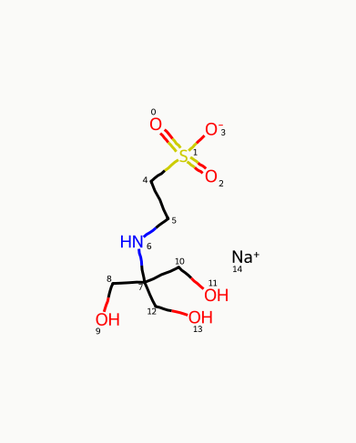 O=S(=O)([O-])CCNC(CO)(CO)CO.[Na+]